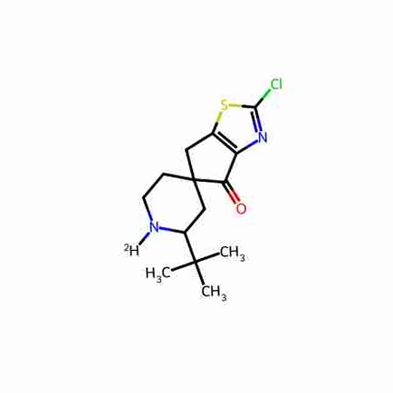 [2H]N1CCC2(Cc3sc(Cl)nc3C2=O)CC1C(C)(C)C